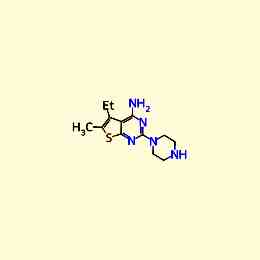 CCc1c(C)sc2nc(N3CCNCC3)nc(N)c12